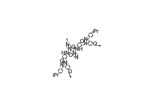 C#CCOc1ccc2c(c1)c(-c1ccc(C(C)C)cc1)nc(=O)n2Cc1cccc(NC(=O)C(C(C(=O)Nc2cccc(Cn3c(=O)nc(-c4ccc(C(C)C)cc4)c4cc(OCC#C)ccc43)c2)N2CCN(CC=C)CC2)N2CCN(C)CC2)c1